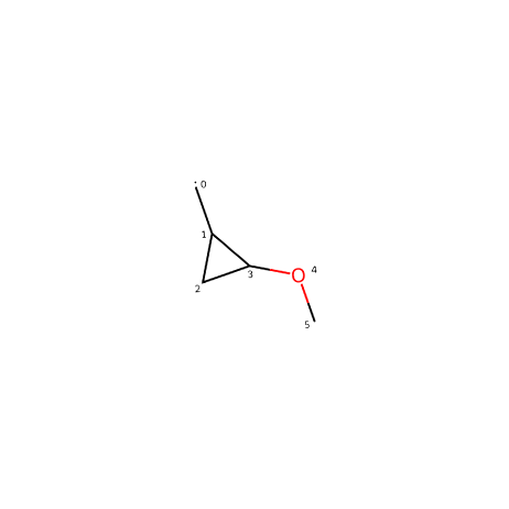 [CH2]C1CC1OC